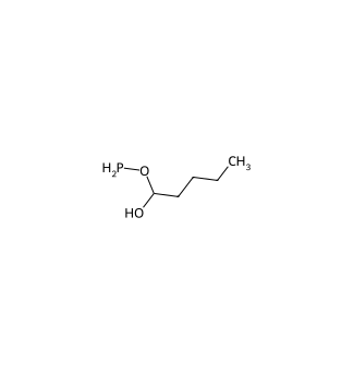 CCCCC(O)OP